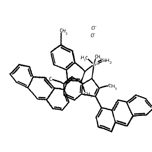 CC1=C(c2cccc3cc4ccccc4cc23)c2ccc(C)cc2[CH]1[Zr+2]([CH3])([CH3])(=[SiH2])[CH]1C(C)=C(c2cccc3cc4ccccc4cc23)c2ccc(C)cc21.[Cl-].[Cl-]